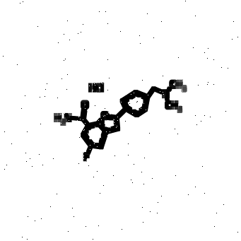 CN(C)Cc1ccc(-c2cc3cc(F)cc(C(N)=O)c3o2)cc1.Cl